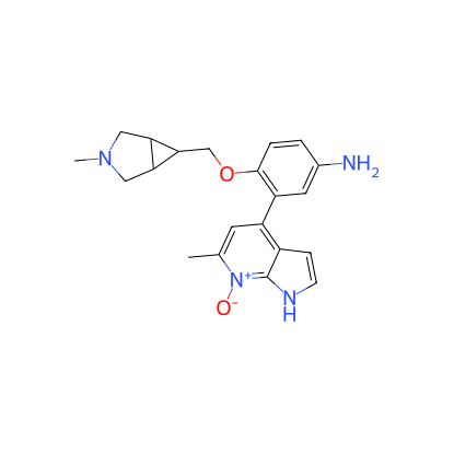 Cc1cc(-c2cc(N)ccc2OCC2C3CN(C)CC23)c2cc[nH]c2[n+]1[O-]